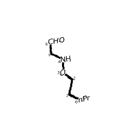 CCCCCONCC=O